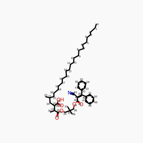 CCCCCCCCCCCCCCCCCCCCCCC(C)CC(C(=O)O)C(C)C(=O)OCC(C)(C)COC(=O)C(C#N)=C(c1ccccc1)c1ccccc1